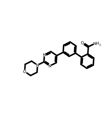 NC(=O)c1ccccc1-c1cccc(-c2cnc(N3CCOCC3)nc2)c1